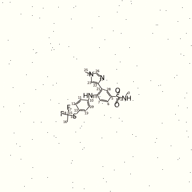 CNS(=O)(=O)c1ccc(Nc2ccc(SC(C)(F)F)cc2)c(-c2cn(C)cn2)c1